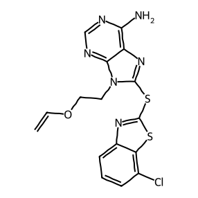 C=COCCn1c(Sc2nc3cccc(Cl)c3s2)nc2c(N)ncnc21